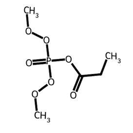 CCC(=O)OP(=O)(OOC)OOC